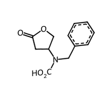 O=C1CC(N(Cc2ccccc2)C(=O)O)CO1